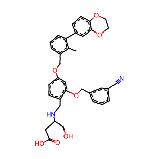 Cc1c(COc2ccc(CNC(CO)CC(=O)O)c(OCc3cccc(C#N)c3)c2)cccc1-c1ccc2c(c1)OCCO2